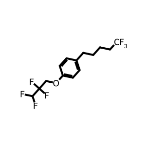 FC(F)C(F)(F)COc1ccc(CCCCC(F)(F)F)cc1